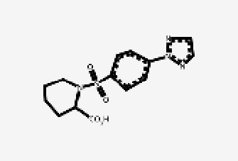 O=C(O)C1CCCCN1S(=O)(=O)c1ccc(-n2nccn2)cc1